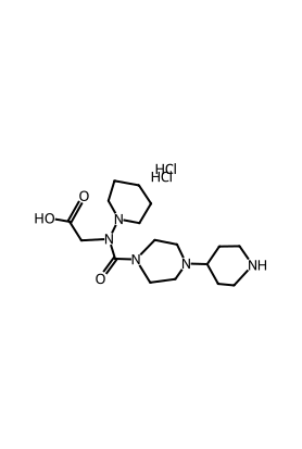 Cl.Cl.O=C(O)CN(C(=O)N1CCN(C2CCNCC2)CC1)N1CCCCC1